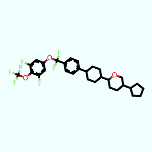 Fc1cc(OC(F)(F)c2ccc(C3CCC(C4CCC(C5CCCC5)CO4)CC3)cc2)cc(F)c1OC(F)(F)F